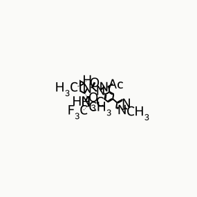 CC(=O)c1nn(CC(=O)N2[C@H](C(=O)N[C@H](C)C(F)(F)F)C[C@@]3(C)C[C@@H]23)c2c(C)cc(-c3cnc(C)nc3)cc12